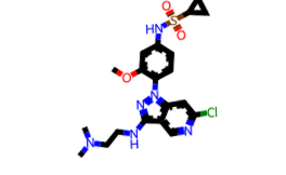 COc1cc(NS(=O)(=O)C2CC2)ccc1-n1nc(NCCN(C)C)c2cnc(Cl)cc21